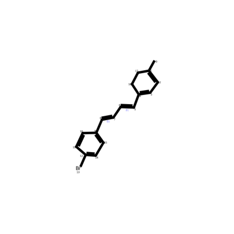 CC1=CC=C(/C=C/C=C/c2ccc(Br)cc2)CC1